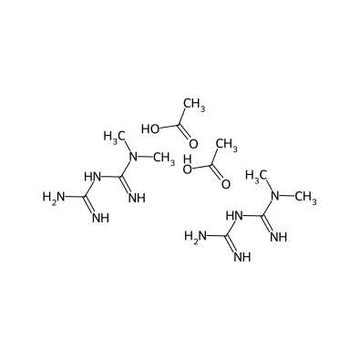 CC(=O)O.CC(=O)O.CN(C)C(=N)NC(=N)N.CN(C)C(=N)NC(=N)N